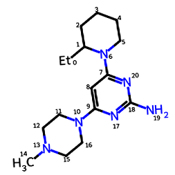 CCC1CCCCN1c1cc(N2CCN(C)CC2)nc(N)n1